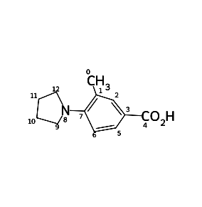 Cc1cc(C(=O)O)ccc1N1CCCC1